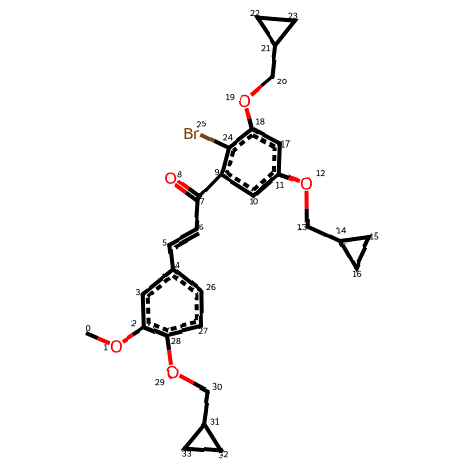 COc1cc(/C=C/C(=O)c2cc(OCC3CC3)cc(OCC3CC3)c2Br)ccc1OCC1CC1